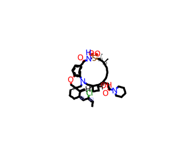 C=C1/C(=C\C(Cl)=C/C)CCC[C@]12COc1ccc3cc1N(C[C@@H]1CC[C@H]1[C@@](O)(CC(=O)N1CCCCC1)CCC[C@H](C)[C@@H](C)S(=O)(=O)NC3=O)C2